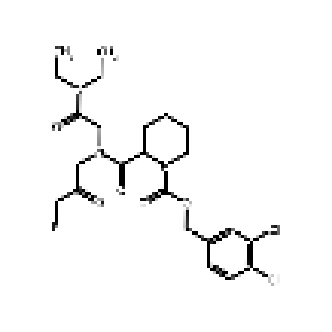 CCN(CC)C(=O)CN(CC(=O)CF)C(=O)C1CCCCN1C(=O)OCc1ccc(Cl)c(Cl)c1